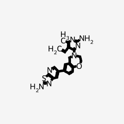 C=Cc1c(C)nc(N)nc1N1CCOc2ccc(-c3cnc4sc(N)nc4c3)cc2C1